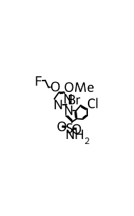 COc1nc(-n2cc(S(N)(=O)=O)c3ccc(Cl)c(Br)c32)ncc1OCCF